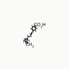 Cn1cc(/C=C/C#Cc2ccc(C(=O)O)cc2)cn1